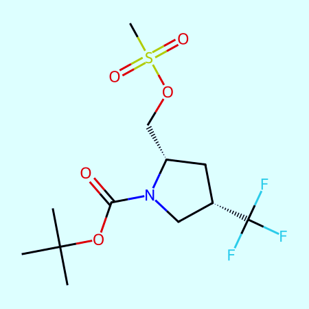 CC(C)(C)OC(=O)N1C[C@@H](C(F)(F)F)C[C@H]1COS(C)(=O)=O